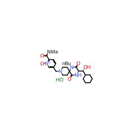 CCCCN1C(=O)[C@@H]([C@H](O)C2CCCCC2)NC(=O)C12CCN(Cc1ccc(C(=O)NC)[n+]([O-])c1)CC2.Cl